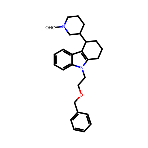 O=CN1CCCC(C2CCCc3c2c2ccccc2n3CCOCc2ccccc2)C1